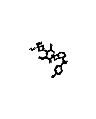 C[C@]1(O)C[C@@H](N2C(=N)N[C@]3(CC2=O)Cc2c(Nc4ccc(Cl)cc4)cccc23)C1